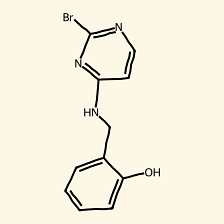 Oc1ccccc1CNc1ccnc(Br)n1